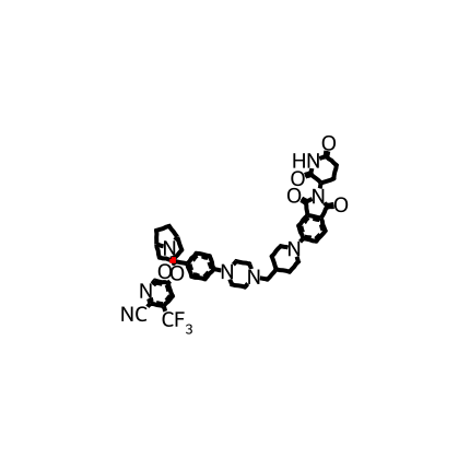 N#Cc1ncc(OC2CC3CCC(C2)N3C(=O)c2ccc(N3CCN(CC4CCN(c5ccc6c(c5)C(=O)N(C5CCC(=O)NC5=O)C6=O)CC4)CC3)cc2)cc1C(F)(F)F